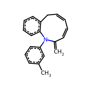 C=C1/C=C\C=C/Cc2ccccc2N1c1cccc(C)c1